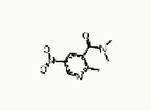 Cc1ncc([N+](=O)[O-])cc1C(=O)N(C)C